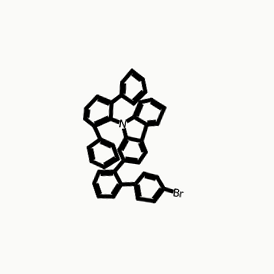 Brc1ccc(-c2ccccc2-c2ccc3c4ccccc4n(-c4c(-c5ccccc5)cccc4-c4ccccc4)c3c2)cc1